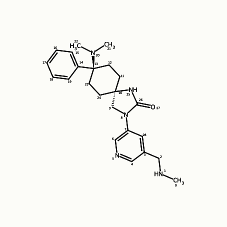 CNCc1cncc(N2C[C@]3(CC[C@](c4ccccc4)(N(C)C)CC3)NC2=O)c1